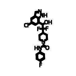 O=C(Nc1ccc(F)cc1)N1CCC(C(F)(F)C(O)c2cc(Cl)cc3cn[nH]c23)CC1